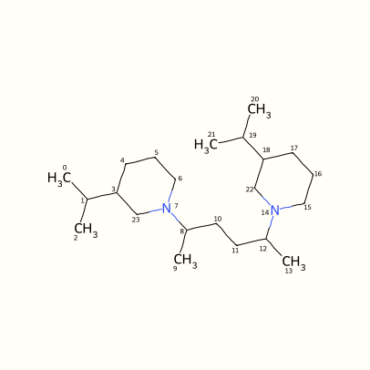 CC(C)C1CCCN(C(C)CCC(C)N2CCCC(C(C)C)C2)C1